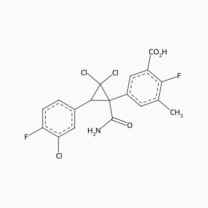 Cc1cc(C2(C(N)=O)C(c3ccc(F)c(Cl)c3)C2(Cl)Cl)cc(C(=O)O)c1F